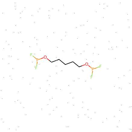 FP(F)OCCCCCOP(F)F